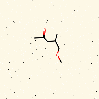 COCC(C)CC(C)=O